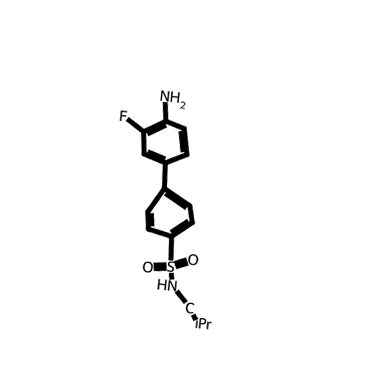 CC(C)CNS(=O)(=O)c1ccc(-c2ccc(N)c(F)c2)cc1